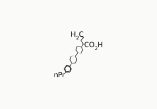 C=CCC(C(=O)O)[C@H]1CC[C@H]([C@H]2CC[C@H](c3ccc(CCC)cc3)CC2)CC1